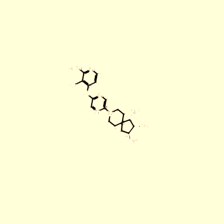 C[C@H]1[C@@H](N)C2(CCN(c3cnc(Sc4ccnc(N)c4Cl)cn3)CC2)C[C@@H]1O